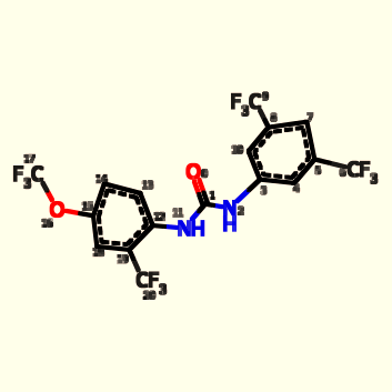 O=C(Nc1cc(C(F)(F)F)cc(C(F)(F)F)c1)Nc1ccc(OC(F)(F)F)cc1C(F)(F)F